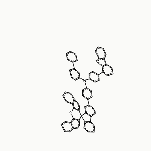 c1ccc(-c2cccc(N(c3ccc(-c4ccc5c(c4)C4(c6ccccc6-5)c5ccc6ccccc6c5Oc5c4ccc4ccccc54)cc3)c3ccc(-c4cccc5c4sc4ccccc45)cc3)c2)cc1